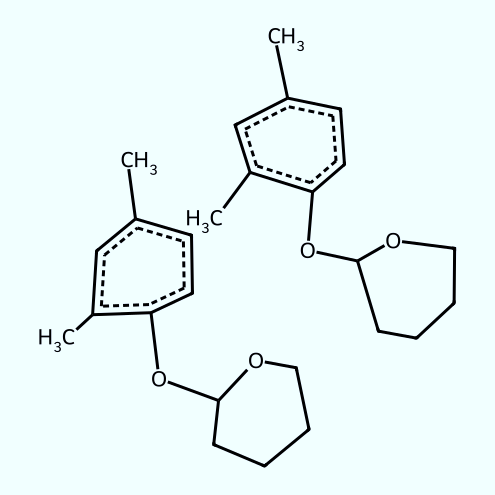 Cc1ccc(OC2CCCCO2)c(C)c1.Cc1ccc(OC2CCCCO2)c(C)c1